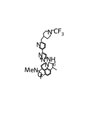 CNC(=O)c1ccnc2c(C(C)[C@H](C)CNc3cc(-c4ccc(CC5CCN(CC(F)(F)F)CC5)nc4)ncn3)ccc(F)c12